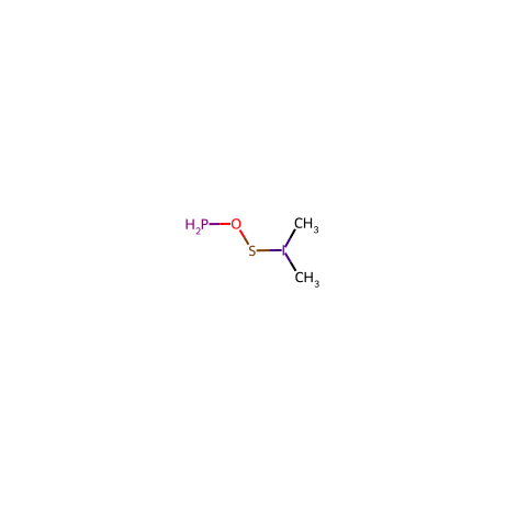 CI(C)SOP